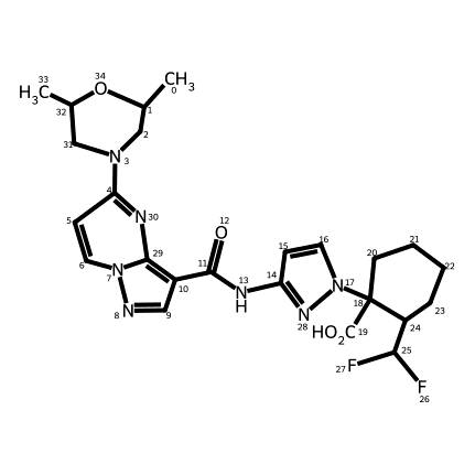 CC1CN(c2ccn3ncc(C(=O)Nc4ccn(C5(C(=O)O)CCCCC5C(F)F)n4)c3n2)CC(C)O1